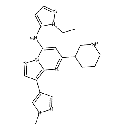 CCn1nccc1Nc1cc(C2CCCNC2)nc2c(-c3cnn(C)c3)cnn12